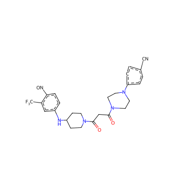 N#Cc1ccc(N2CCN(C(=O)CC(=O)N3CCC(Nc4ccc(N=O)c(C(F)(F)F)c4)CC3)CC2)cc1